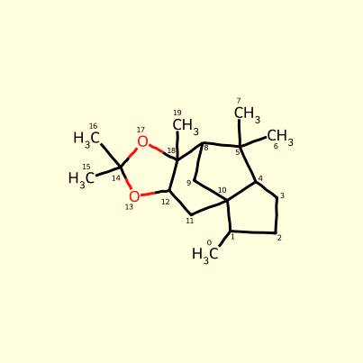 CC1CCC2C(C)(C)C3CC12CC1OC(C)(C)OC13C